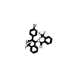 N#C/C(=C(/OC(=O)c1ccccc1C(F)(F)F)c1ccccc1C(F)(F)F)c1ccc(Br)cc1